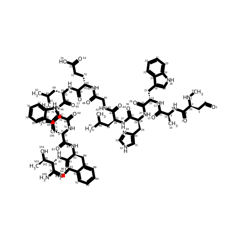 CN[C@@H](CC=O)C(=O)N[C@@H](C)C(=O)N[C@@H](Cc1c[nH]c2ccccc12)C(=O)N[C@@H](Cc1c[nH]cn1)C(=O)N[C@@H](CC(C)C)C(=O)NCC(=O)N[C@@H](CCC(=O)O)C(=O)N[C@@H](CC(C)C)C(=O)N[C@H](C(=O)N[C@@H](Cc1c[nH]c2ccccc12)C(=O)N[C@@H](Cc1ccccc1CN)C(=O)N[C@H](C(N)=O)[C@@H](C)O)C(C)C